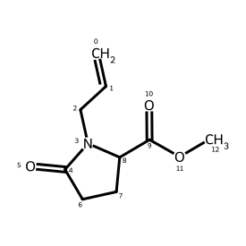 C=CCN1C(=O)CCC1C(=O)OC